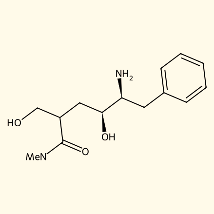 CNC(=O)C(CO)C[C@H](O)[C@@H](N)Cc1ccccc1